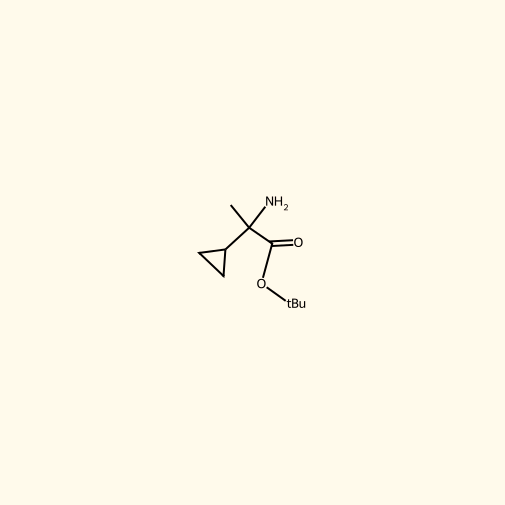 CC(C)(C)OC(=O)C(C)(N)C1CC1